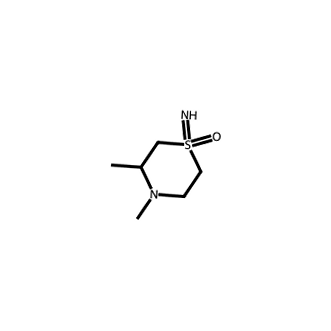 CC1CS(=N)(=O)CCN1C